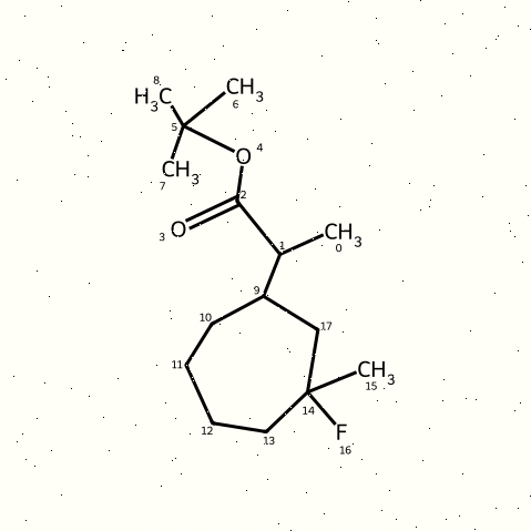 CC(C(=O)OC(C)(C)C)C1CCCCC(C)(F)C1